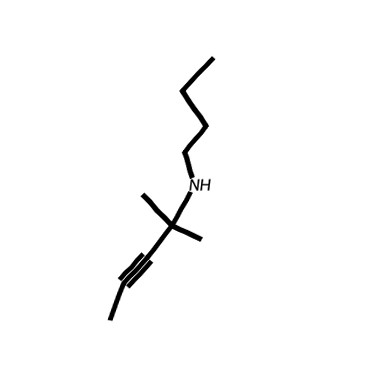 CC#CC(C)(C)NCCCC